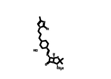 CCc1nc(C)cn1CCCC1CCN(C=N[C@@H]2C(=O)N3[C@@H]2SC(C)(C)[C@@H]3C(=O)O)CC1.Cl